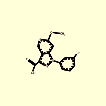 COc1cc2c(cn1)c(C(=O)O)nn2-c1cccc(Br)c1